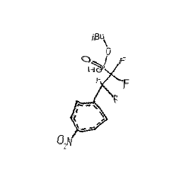 CCC(C)OP(=O)(O)C(F)(F)C(F)(F)c1ccc([N+](=O)[O-])cc1